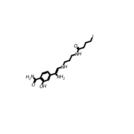 NC(=O)c1ccc(/C(N)=C/NCCCNC(=O)CCCI)cc1O